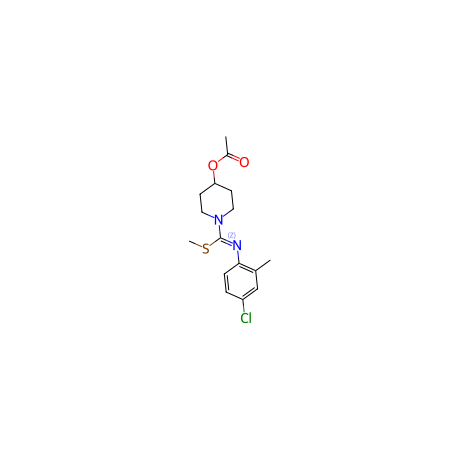 CS/C(=N\c1ccc(Cl)cc1C)N1CCC(OC(C)=O)CC1